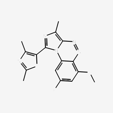 COc1cc(F)cc2c1nnc1c(C)nc(-c3sc(C)nc3C)n12